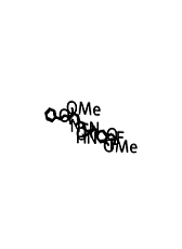 COc1cc(C[S+]([O-])c2nc3cc(OC(F)F)c(OC)cc3[nH]2)ncc1OCc1ccccc1